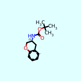 CC(C)(C)OC(=O)N[C@@H]1COc2ccc[c]c2C1